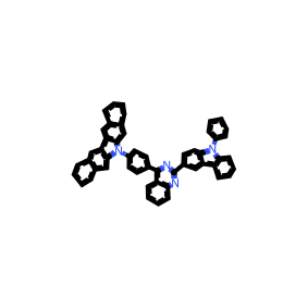 c1ccc(-n2c3ccccc3c3cc(-c4nc(-c5ccc(-n6c7cc8ccccc8cc7c7cc8ccccc8cc76)cc5)c5ccccc5n4)ccc32)cc1